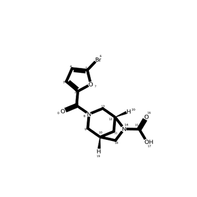 O=C(c1ccc(Br)o1)N1C[C@@H]2C[C@H](C1)N(C(=O)O)C2